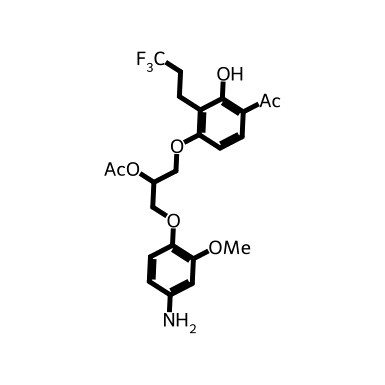 COc1cc(N)ccc1OCC(COc1ccc(C(C)=O)c(O)c1CCC(F)(F)F)OC(C)=O